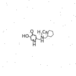 CN1CCCCC1CNCc1cc(=O)c(O)c[nH]1